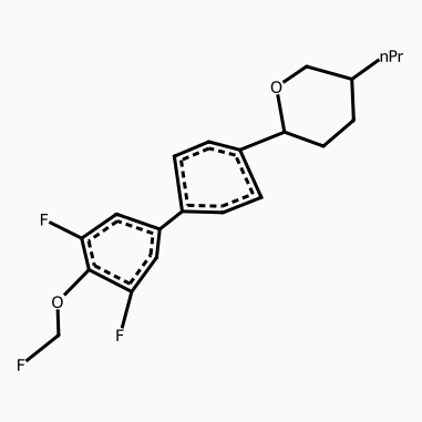 CCCC1CCC(c2ccc(-c3cc(F)c(OCF)c(F)c3)cc2)OC1